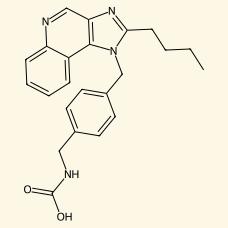 CCCCc1nc2cnc3ccccc3c2n1Cc1ccc(CNC(=O)O)cc1